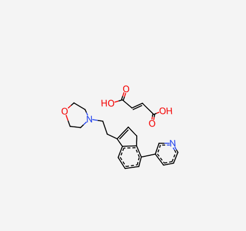 C1=C(CCN2CCOCC2)c2cccc(-c3cccnc3)c2C1.O=C(O)C=CC(=O)O